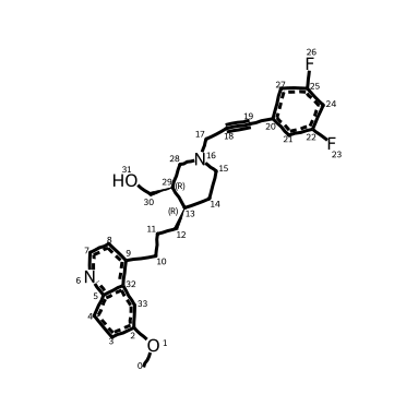 COc1ccc2nccc(CCC[C@@H]3CCN(CC#Cc4cc(F)cc(F)c4)C[C@@H]3CO)c2c1